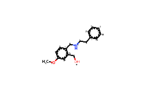 COc1ccc(CNCCc2ccccc2)c(CO)c1